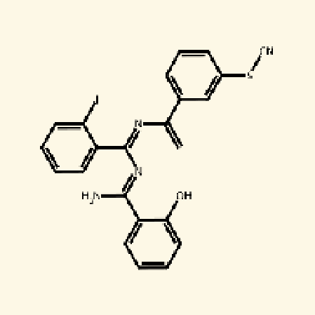 C=C(/N=C(\N=C(/N)c1ccccc1O)c1ccccc1I)c1cccc(SC#N)c1